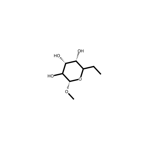 CCC1O[C@H](OC)C(O)[C@H](O)[C@@H]1O